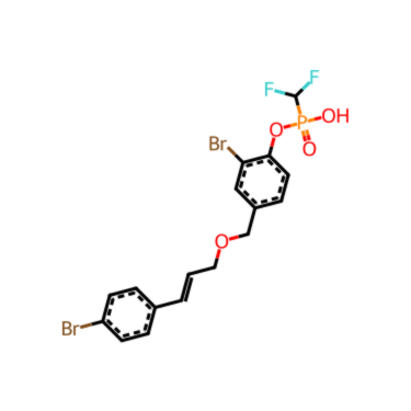 O=P(O)(Oc1ccc(COCC=Cc2ccc(Br)cc2)cc1Br)C(F)F